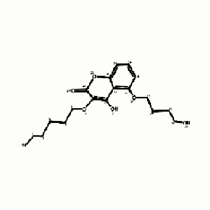 CCCCCCOc1c(O)c2c(OCCCCO)cccc2oc1=O